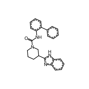 O=C(Nc1ccccc1-c1ccccc1)N1CCCC(c2nc3ccccc3[nH]2)C1